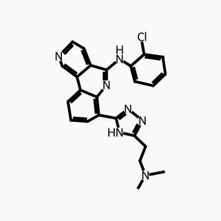 CN(C)CCc1nnc(-c2cccc3c2nc(Nc2ccccc2Cl)c2ccncc23)[nH]1